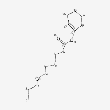 CCCOCCCCCC(=O)OC1=CCCCC1